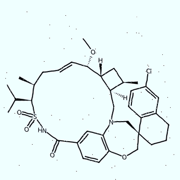 CO[C@H]1/C=C/C[C@H](C)[C@H](C(C)C)S(=O)(=O)NC(=O)c2ccc3c(c2)N(C[C@H]2[C@H]1C[C@H]2C)C[C@@]1(CCCc2cc(Cl)ccc21)CO3